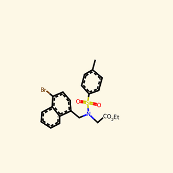 CCOC(=O)CN(Cc1ccc(Br)c2ccccc12)S(=O)(=O)c1ccc(C)cc1